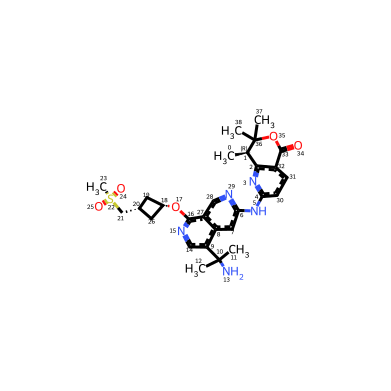 C[C@@H]1c2nc(Nc3cc4c(C(C)(C)N)cnc(O[C@H]5C[C@@H](CS(C)(=O)=O)C5)c4cn3)ccc2C(=O)OC1(C)C